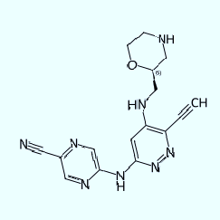 C#Cc1nnc(Nc2cnc(C#N)cn2)cc1NC[C@@H]1CNCCO1